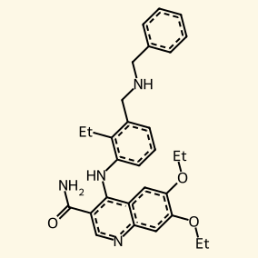 CCOc1cc2ncc(C(N)=O)c(Nc3cccc(CNCc4ccccc4)c3CC)c2cc1OCC